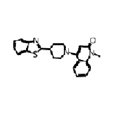 Cn1c(=O)cc(N2CCC(c3nc4ccccc4s3)CC2)c2ccccc21